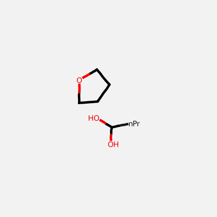 C1CCOC1.CCCC(O)O